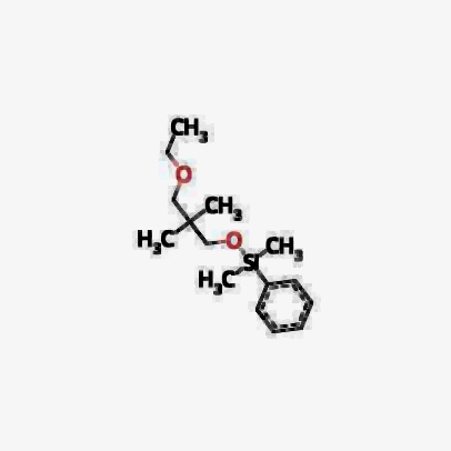 CCOCC(C)(C)CO[Si](C)(C)c1ccccc1